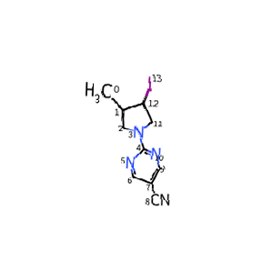 CC1CN(c2ncc(C#N)cn2)CC1I